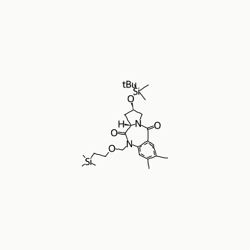 Cc1cc2c(cc1C)N(COCC[Si](C)(C)C)C(=O)[C@@H]1C[C@@H](O[Si](C)(C)C(C)(C)C)CN1C2=O